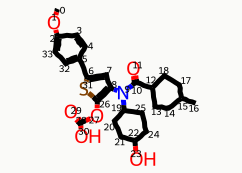 COc1ccc(-c2cc(N(C(=O)C3CCC(C)CC3)C3CCC(O)CC3)c(OC(=O)O)s2)cc1